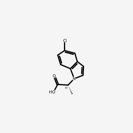 C[C@H](C(=O)O)n1ccc2cc(Cl)ccc21